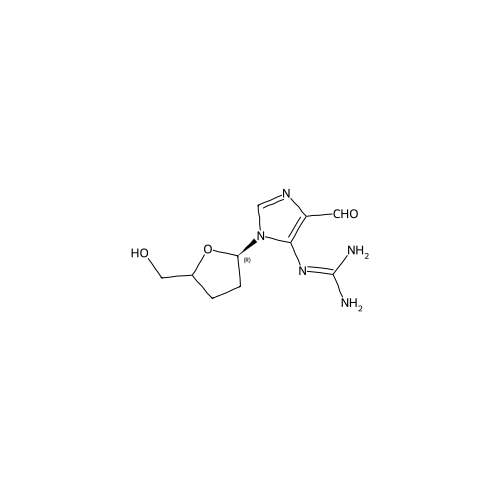 NC(N)=Nc1c(C=O)ncn1[C@H]1CCC(CO)O1